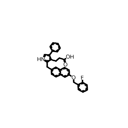 O=C(O)CCc1c(-c2ccccc2)c[nH]c1Cc1ccc2cc(OCc3ccccc3F)ccc2c1